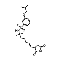 CC(F)COc1cccc(S(=O)(=O)NC(C)(C)CCC/C=C/N2CC(=O)NC2=O)c1